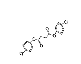 O=C(CCC(=O)Oc1ccc(Cl)cc1)Oc1ccc(Cl)cc1